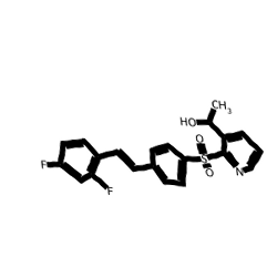 CC(O)c1cccnc1S(=O)(=O)c1ccc(C=Cc2ccc(F)cc2F)cc1